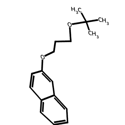 CC(C)(C)OCCCOc1ccc2ccccc2c1